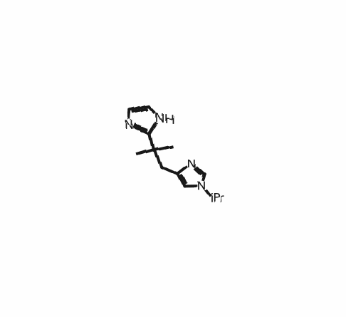 CC(C)n1cnc(CC(C)(C)c2ncc[nH]2)c1